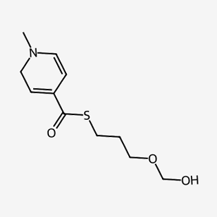 CN1C=CC(C(=O)SCCCOCO)=CC1